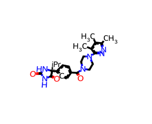 Cc1nnc(N2CCN(C(=O)c3ccc([C@@]4(C(C)C)NC(=O)NC4=O)cc3)CC2)c(C)c1C